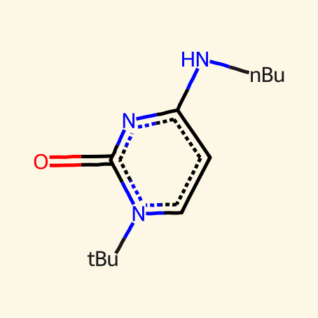 CCCCNc1ccn(C(C)(C)C)c(=O)n1